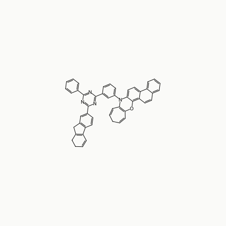 C1=CC2=C(C=CC1)N(c1cccc(-c3nc(-c4ccccc4)nc(-c4ccc5c(c4)CC4=C5C=CCC4)n3)c1)c1ccc3c(ccc4ccccc43)c1O2